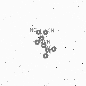 N#Cc1ccc(N(c2ccc(C#N)cc2)c2ccc3c(c2)c2ccccc2n3-c2ccc(-c3cc(-c4ccccc4)nc(-c4ccccc4)n3)cc2C#N)cc1